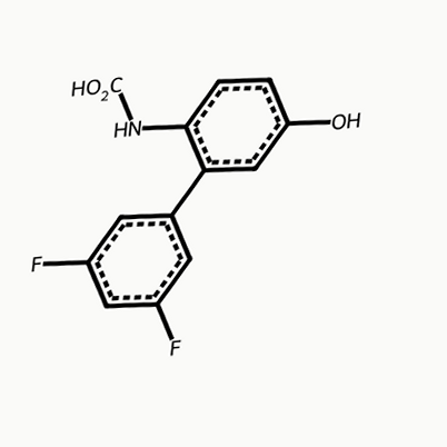 O=C(O)Nc1ccc(O)cc1-c1cc(F)cc(F)c1